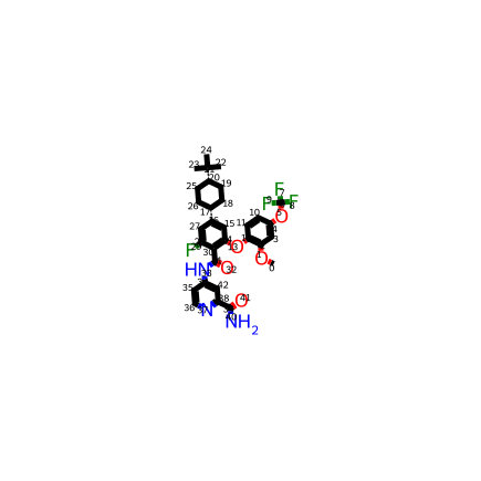 COc1cc(OC(F)(F)F)ccc1Oc1cc([C@H]2CC[C@@H](C(C)(C)C)CC2)cc(F)c1C(=O)Nc1ccnc(C(N)=O)c1